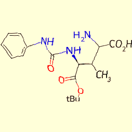 CC(C(N)C(=O)O)[C@H](NC(=O)Nc1ccccc1)C(=O)OC(C)(C)C